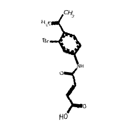 C=C(C)c1ccc(NC(=O)C=CC(=O)O)cc1Br